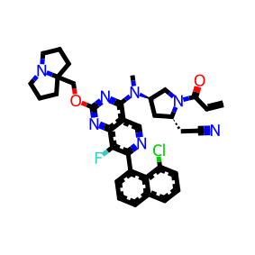 C=CC(=O)N1C[C@H](N(C)c2nc(OCC34CCCN3CCC4)nc3c(F)c(-c4cccc5cccc(Cl)c45)ncc23)C[C@H]1CC#N